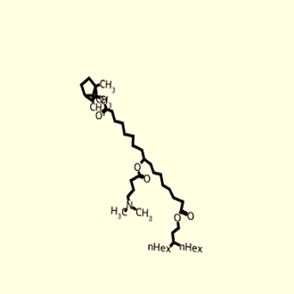 CCCCCCC(CCCCCC)CCOC(=O)CCCCCCCC(CCCCCCCC(=O)OC1CC2CCC1(C)C2(C)C)OC(=O)CCCN(C)C